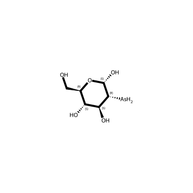 OC[C@H]1O[C@H](O)[C@H]([AsH2])[C@@H](O)[C@@H]1O